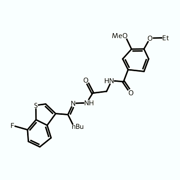 CCCC/C(=N\NC(=O)CNC(=O)c1ccc(OCC)c(OC)c1)c1csc2c(F)cccc12